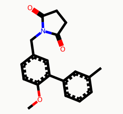 COc1ccc(CN2C(=O)CCC2=O)cc1-c1cccc(C)c1